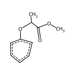 COC(=O)C(C)Oc1[c]cccc1